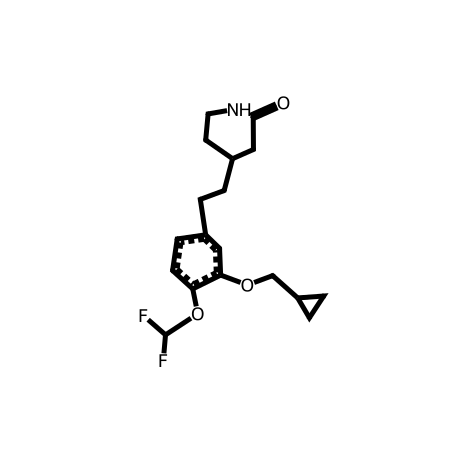 O=C1CC(CCc2ccc(OC(F)F)c(OCC3CC3)c2)CCN1